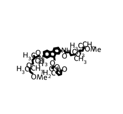 C=C1CCC(=O)N1OC(=O)OCC1c2cc(NC(=O)CCC(C)(C)OCCC(C)(C)OC)ccc2-c2ccc(NC(=O)C(C)(C)CCOC(C)(C)CCOC)cc21